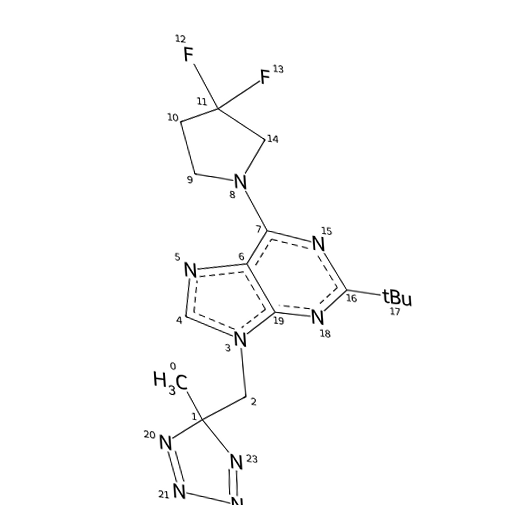 CC1(Cn2cnc3c(N4CCC(F)(F)C4)nc(C(C)(C)C)nc32)N=NN=N1